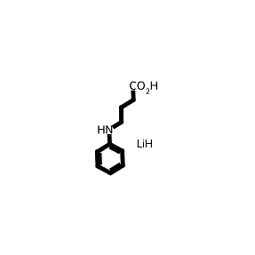 O=C(O)CCCNc1ccccc1.[LiH]